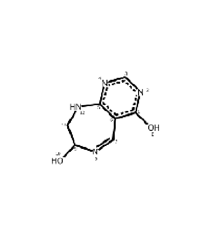 Oc1ncnc2c1C=NC(O)CN2